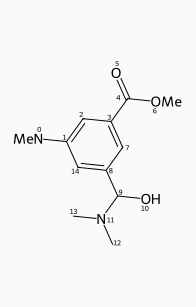 CNc1cc(C(=O)OC)cc(C(O)N(C)C)c1